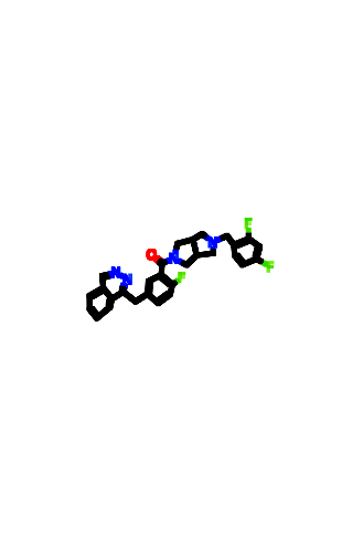 O=C(c1cc(Cc2nncc3ccccc23)ccc1F)N1CC2CN(Cc3ccc(F)cc3F)CC2C1